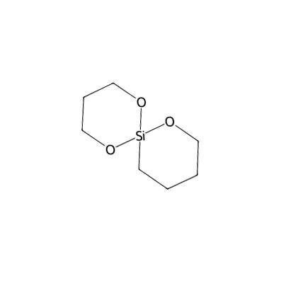 C1CC[Si]2(OC1)OCCCO2